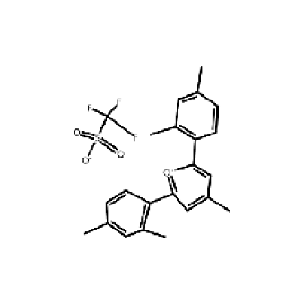 Cc1cc(-c2ccc(C)cc2C)[o+]c(-c2ccc(C)cc2C)c1.O=S(=O)([O-])C(F)(F)F